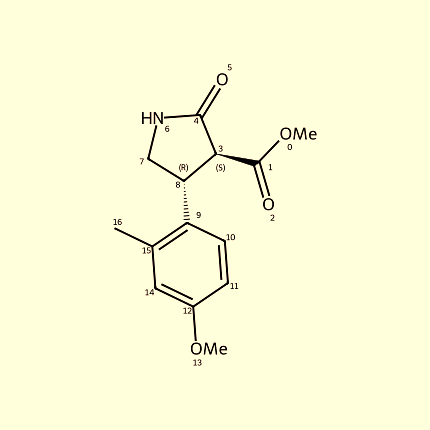 COC(=O)[C@@H]1C(=O)NC[C@H]1c1ccc(OC)cc1C